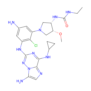 CCNC(=O)N[C@H]1CN(c2cc(N)cc(Nc3nc(NC4CC4)c4ncc(N)n4n3)c2Cl)C[C@H]1OC